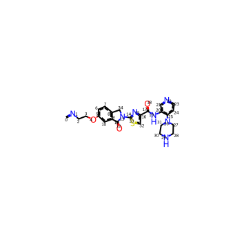 C=NCCOc1ccc2c(c1)C(=O)N(c1nc(C(=O)Nc3cnccc3N3CCNCC3)cs1)C2